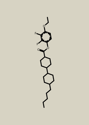 CCCCCC1CCC(C2CCC(C(=O)Oc3ccc(OCC)c(F)c3F)CC2)CC1